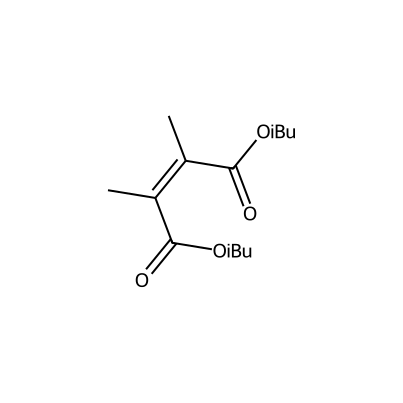 CC(C(=O)OCC(C)C)=C(C)C(=O)OCC(C)C